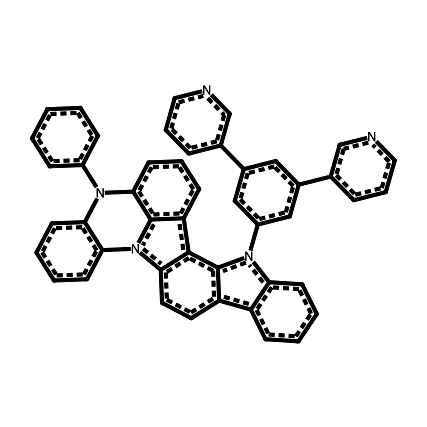 c1ccc(N2c3ccccc3-n3c4ccc5c6ccccc6n(-c6cc(-c7cccnc7)cc(-c7cccnc7)c6)c5c4c4cccc2c43)cc1